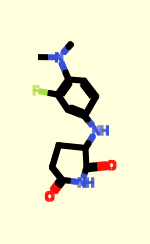 CN(C)c1ccc(NC2CCC(=O)NC2=O)cc1F